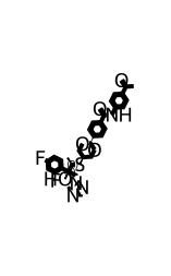 CC(=O)c1ccc(NC(=O)c2ccc([C@H]3OC[C@H](S[C@H](C)[C@](O)(Cn4cncn4)c4ccc(F)cc4F)CO3)cc2)cc1